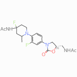 CC(=O)NC[C@H]1CN(c2ccc(N3CCC(F)(NC(C)=O)CC3C)c(F)c2)C(=O)O1